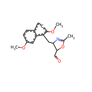 COc1ccc2ccc(OC)c(CC3N=C(C)OC3C=O)c2c1